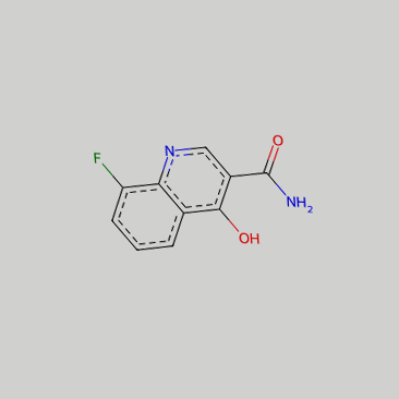 NC(=O)c1cnc2c(F)cccc2c1O